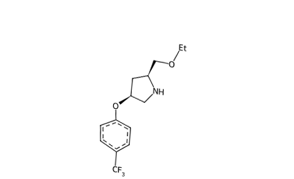 CCOC[C@@H]1C[C@H](Oc2ccc(C(F)(F)F)cc2)CN1